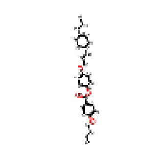 CCCCOc1ccc(C(=O)Oc2ccc(OCCC[C@H]3CC[C@H](CCC)CC3)cc2)cc1